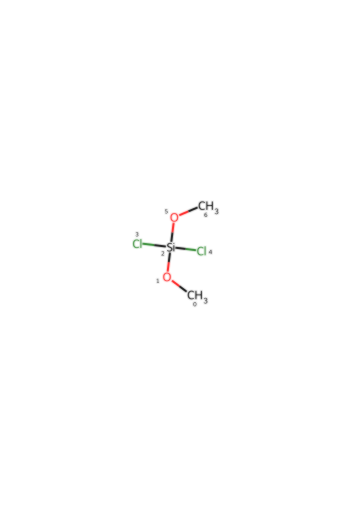 CO[Si](Cl)(Cl)OC